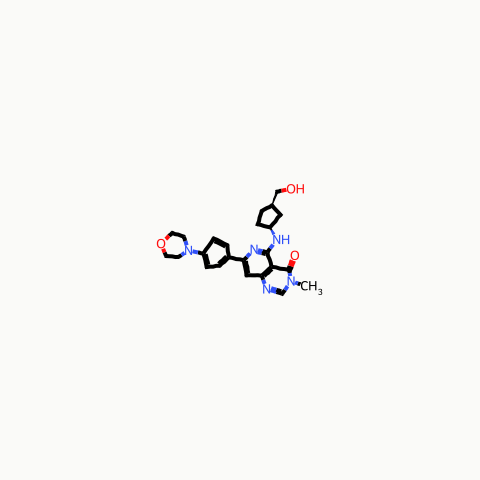 Cn1cnc2cc(-c3ccc(N4CCOCC4)cc3)nc(N[C@H]3CC[C@@H](CO)C3)c2c1=O